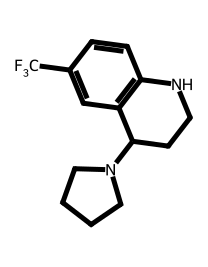 FC(F)(F)c1ccc2c(c1)C(N1CCCC1)CCN2